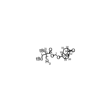 CC(C)(C)CC(C)(C(=O)OCOC1C2CC3CC(C2)C(=O)OC1C3)C(C)(C)C